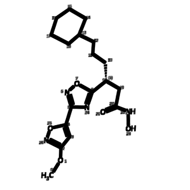 COc1cc(-c2noc([C@H](CCCC3CCCCC3)CC(=O)NO)n2)on1